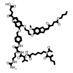 C=C(CCC)C(=O)N(CCCCCC(=O)N[C@H](C(=O)N[C@@H](CCCNC(N)=O)C(=O)Nc1ccc(COc2cc3sc(C(=O)CCC(=O)O)cc3cc2OCCCOc2cc3c(cc2OC)C/C(=C\C(=O)CCC(=O)OCCCC)C3)cc1)C(C)C)C(C)=O